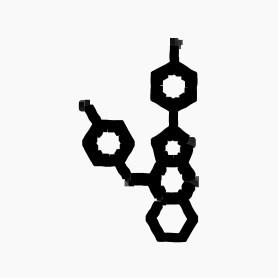 Clc1ccc(/N=c2\c3cc(-c4ccc(Br)cc4)oc3nc3n2CCCC3)cc1